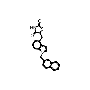 O=C1NC(=O)C(Cc2cccc3c2ccn3Cc2ccc3ccccc3c2)S1